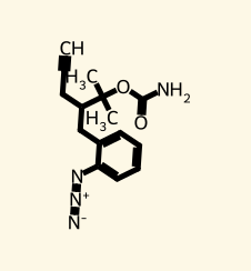 C#CCC(Cc1ccccc1N=[N+]=[N-])C(C)(C)OC(N)=O